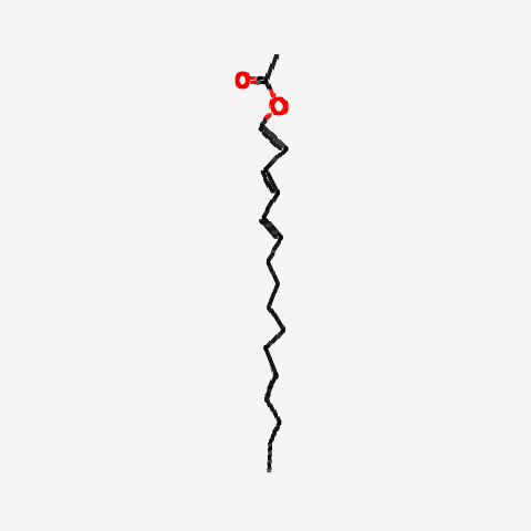 CCCCCCCCCCC=CC=CC=COC(C)=O